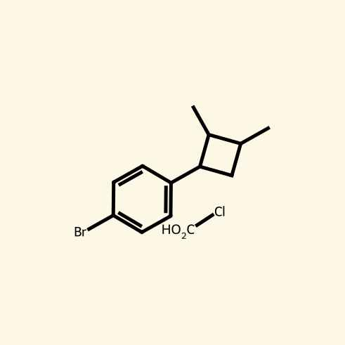 CC1CC(c2ccc(Br)cc2)C1C.O=C(O)Cl